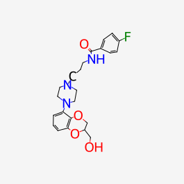 O=C(NCCCN1CCN(c2cccc3c2OCC(CO)O3)CC1)c1ccc(F)cc1